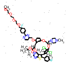 COCCOCCOCCOC[C@]1(F)CC=C(c2nccc(COc3ccc4cc3C[C@H](C(=O)OC(C)(C)C)Oc3ncnc5sc(-c6ccc(F)cc6)c(c35)-c3c(C)c(Cl)c(c(Cl)c3C)O[C@H](CN3CCN(C)CC3)CO4)n2)CC1